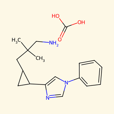 CC(C)(CN)CC1CC1c1cn(-c2ccccc2)cn1.O=C(O)O